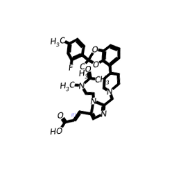 CC(=O)N(C)CCn1c(/C=C/C(=O)O)cnc1CN1CCC(c2cccc3c2OC(C)(c2ccc(C)cc2F)O3)CC1